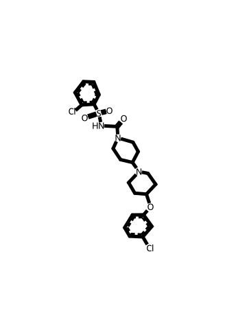 O=C(NS(=O)(=O)c1ccccc1Cl)N1CCC(N2CCC(Oc3cccc(Cl)c3)CC2)CC1